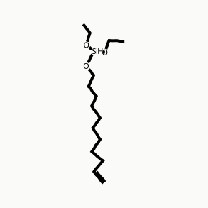 C=CCCCCCCCCCO[SiH](OCC)OCC